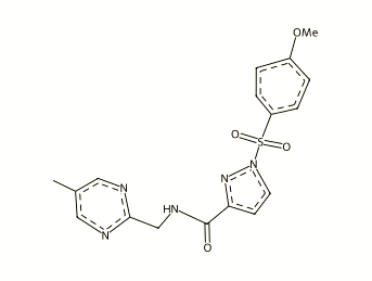 COc1ccc(S(=O)(=O)n2ccc(C(=O)NCc3ncc(C)cn3)n2)cc1